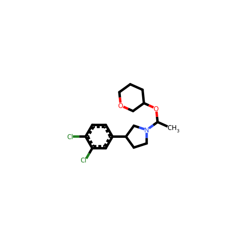 CC(OC1CCCOC1)N1CCC(c2ccc(Cl)c(Cl)c2)C1